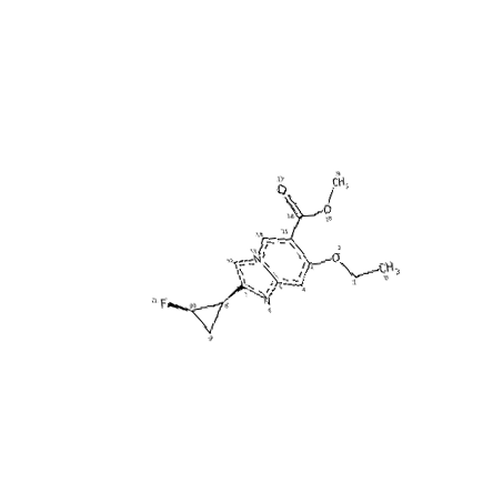 CCOc1cc2nc([C@H]3C[C@H]3F)cn2cc1C(=O)OC